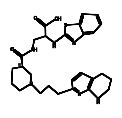 O=C(O)C(CNC(=O)[C@@H]1CCCN(CCCc2ccc3c(n2)NCCC3)C1)Nc1nc2ccccc2s1